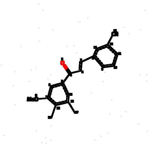 COc1cc(C(=O)/C=C/c2cccc(C#N)c2)cc(C)c1C